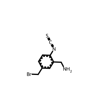 NCc1cc(CBr)ccc1N=C=S